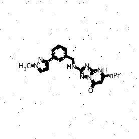 CCCc1cc(=O)n2nc(NCc3cccc(-c4ccn(C)n4)c3)nc2[nH]1